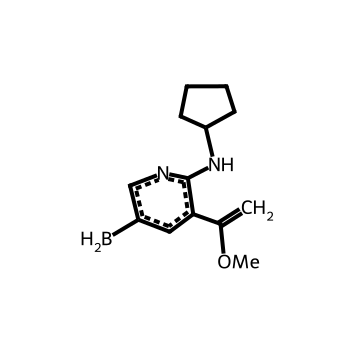 Bc1cnc(NC2CCCC2)c(C(=C)OC)c1